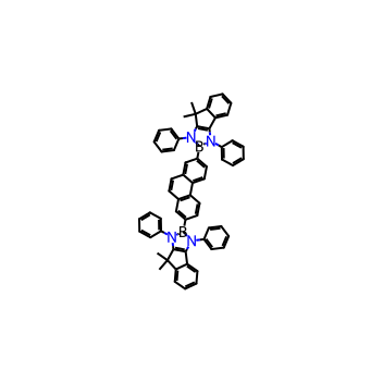 CC1(C)C2=C(c3ccccc31)N(c1ccccc1)B(c1ccc3c(ccc4cc(B5N(c6ccccc6)C6=C(N5c5ccccc5)C(C)(C)c5ccccc56)ccc43)c1)N2c1ccccc1